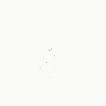 [O-][N+]#Cc1ccc2cnccc2c1